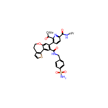 CCCNC(=O)c1ccc(-c2cc3c(cc2C(=O)NCc2ccc(S(N)(=O)=O)cc2)-c2sccc2CCO3)c(C(=O)OC)n1